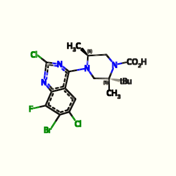 C[C@H]1CN(C(=O)O)[C@](C)(C(C)(C)C)CN1c1nc(Cl)nc2c(F)c(Br)c(Cl)cc12